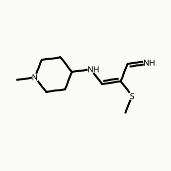 CS/C(C=N)=C/NC1CCN(C)CC1